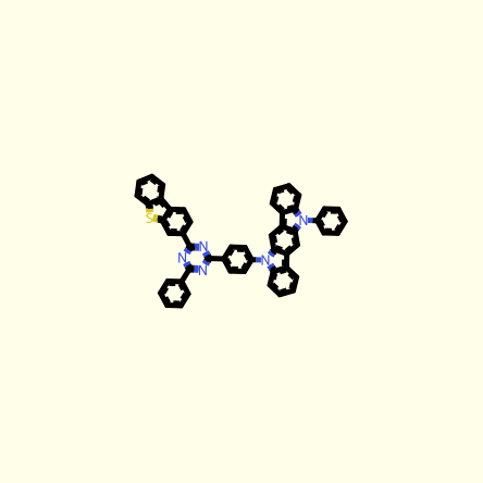 c1ccc(-c2nc(-c3ccc(-n4c5ccccc5c5cc6c(cc54)c4ccccc4n6-c4ccccc4)cc3)nc(-c3ccc4c(c3)sc3ccccc34)n2)cc1